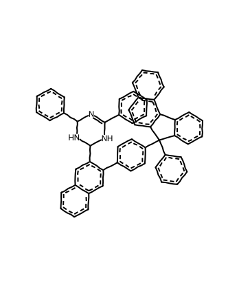 c1ccc(C2=NC(c3ccccc3)NC(c3cc4ccccc4cc3-c3ccc(C4(c5ccccc5)c5ccccc5-c5c4ccc4ccccc54)cc3)N2)cc1